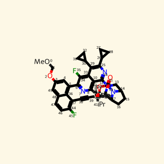 COCOc1cc(-c2nc(OC)c3c(N4CC5CCC(C4)N5C(=O)OC(C)(C)C)nc(C4CC4)c(C4CC4)c3c2F)c2c(C#C[Si](C(C)C)(C(C)C)C(C)C)c(F)ccc2c1